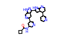 O=C(Nc1cncc(-c2cc3c(-c4cc5c(-c6cccnc6)ccnc5[nH]4)n[nH]c3cn2)c1)C1CCC1